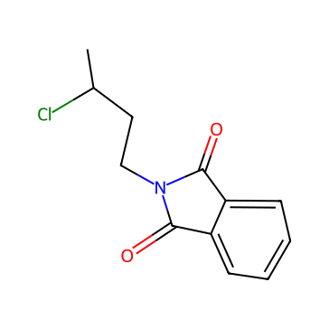 CC(Cl)CCN1C(=O)c2ccccc2C1=O